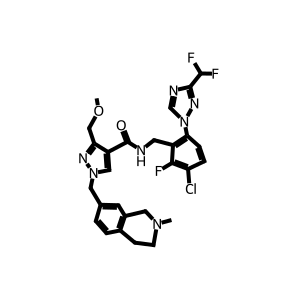 COCc1nn(Cc2ccc3c(c2)CN(C)CC3)cc1C(=O)NCc1c(-n2cnc(C(F)F)n2)ccc(Cl)c1F